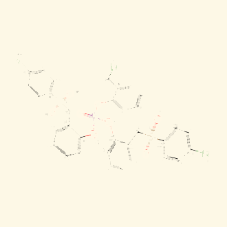 O=P(Oc1ccccc1CBr)(Oc1ccccc1CS(=O)(=O)c1ccc(Br)cc1)Oc1ccccc1CS(=O)(=O)c1ccc(Br)cc1